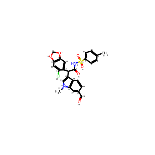 Cc1ccc(S(=O)(=O)NC(=O)C(c2cc3c(cc2Cl)OCO3)c2cn(C)c3cc(C=O)ccc23)cc1